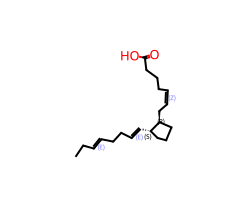 CC/C=C/CC/C=C/[C@H]1CCC[C@@H]1C/C=C\CCCC(=O)O